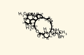 CCCN(C)C(=O)N[C@H]1Cc2nc(cs2)-c2ccc3c(c2)c(c(-c2cccnc2[C@H](C)OC)n3CC)CC(C)(C)COC(=O)[C@@H]2CCCN(N2)C1=O